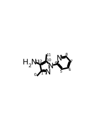 Cc1nn(-c2ccccn2)c(C)c1N